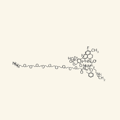 C=CNCCCC[C@H](NC(=O)[C@H](Cc1ccccc1)NC(=O)CCOCCOCCOCCOCCOCCOCCOCCOCCOCCN=[N+]=[N-])C(=O)N[C@H]1CCc2c(C)c(F)cc3nc4c(c1c23)Cn1c-4cc2c(c1=O)COC(=O)[C@]2(O)CC